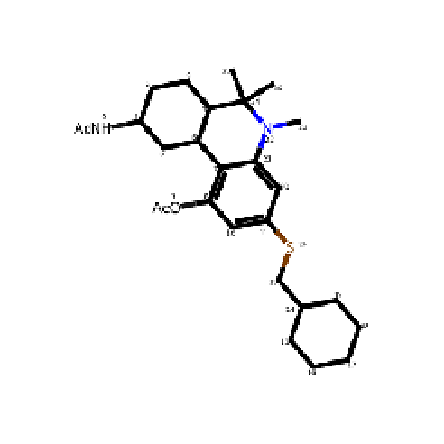 CC(=O)NC1CCC2C(C1)c1c(OC(C)=O)cc(SCC3CCCCC3)cc1N(C)C2(C)C